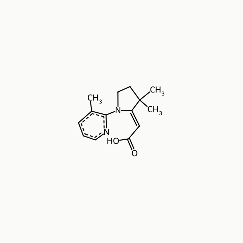 Cc1cccnc1N1CCC(C)(C)/C1=C/C(=O)O